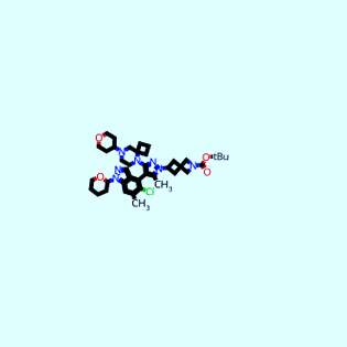 Cc1cc2c(cnn2C2CCCCO2)c(-c2c(N3CCN(C4CCOCC4)CC34CCC4)nn(C3CC4(C3)CN(C(=O)OC(C)(C)C)C4)c2C)c1Cl